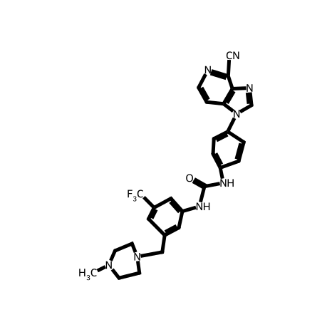 CN1CCN(Cc2cc(NC(=O)Nc3ccc(-n4cnc5c(C#N)nccc54)cc3)cc(C(F)(F)F)c2)CC1